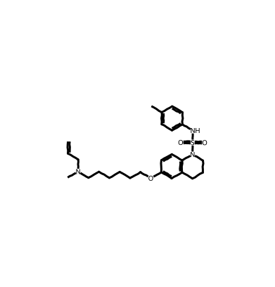 C=CCN(C)CCCCCCOc1ccc2c(c1)CCCN2S(=O)(=O)Nc1ccc(C)cc1